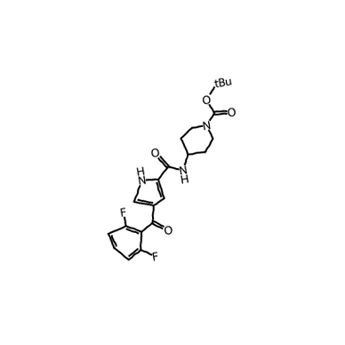 CC(C)(C)OC(=O)N1CCC(NC(=O)c2cc(C(=O)c3c(F)cccc3F)c[nH]2)CC1